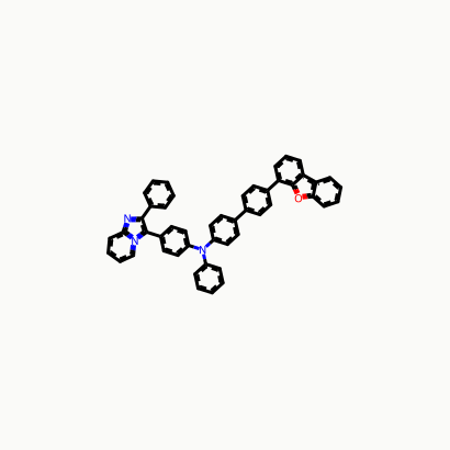 c1ccc(-c2nc3ccccn3c2-c2ccc(N(c3ccccc3)c3ccc(-c4ccc(-c5cccc6c5oc5ccccc56)cc4)cc3)cc2)cc1